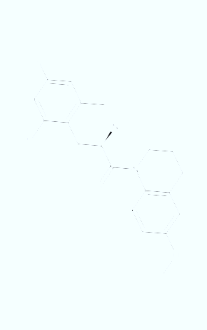 COc1ccc2c(c1)CCCN2C(=O)[C@H](N)Cc1c(C)cc(O)cc1Br